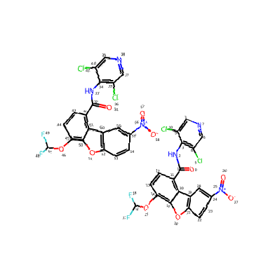 O=C(Nc1c(Cl)cncc1Cl)c1ccc(OC(F)F)c2oc3ccc([N+](=O)[O-])cc3c12.O=C(Nc1c(Cl)cncc1Cl)c1ccc(OC(F)F)c2oc3ccc([N+](=O)[O-])cc3c12